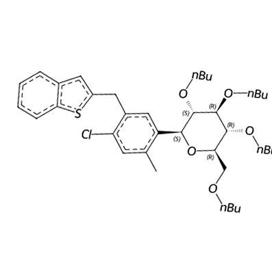 CCCCOC[C@H]1O[C@@H](c2cc(Cc3cc4ccccc4s3)c(Cl)cc2C)[C@H](OCCCC)[C@@H](OCCCC)[C@@H]1OCCCC